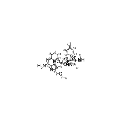 CCOCc1nc2c(N)nc3ccccc3c2n1CC(C)(O)OP(=O)(N[C@@H](C)C(=O)NC)Oc1ccc(Cl)cc1